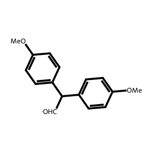 COc1ccc(C([C]=O)c2ccc(OC)cc2)cc1